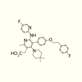 Cc1nc(Nc2ccc(F)cn2)c(-c2ccc(OCCc3ccc(F)cc3)cc2)c(N2CCC(C)(C)CC2)c1CC(=O)O